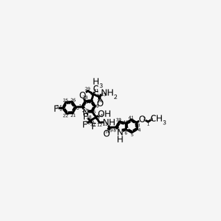 CCOc1ccc2[nH]c(C(=O)NCC(O)(c3cc4c(c(-c5ccc(F)cc5)n3)OC[C@]4(C)C(N)=O)C(F)(F)F)cc2c1